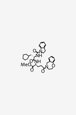 COC(=O)[C@H](CCC(=O)N1CCOc2ccccc2C1)NC(=O)[C@H](CC1CCCCC1)NC(=O)N1CCc2ccccc21